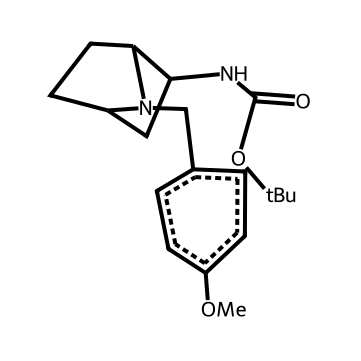 COc1ccc(CN2C3CCC2C(NC(=O)OC(C)(C)C)C3)cc1